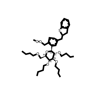 CCCCOC[C@H]1O[C@@H](c2cc(CC3Cc4ccccc4S3)ccc2COOC)[C@H](OCCCC)[C@@H](OCCCC)[C@@H]1OCCCC